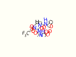 Cc1oc(=O)oc1CN(C)[C@@H](C)C(=O)N[C@H]1CN(S(=O)(=O)CCC(F)(F)F)CC[C@H]2CC[C@@H](C(=O)N[C@@H]3CCOc4ccccc43)N2C1=O